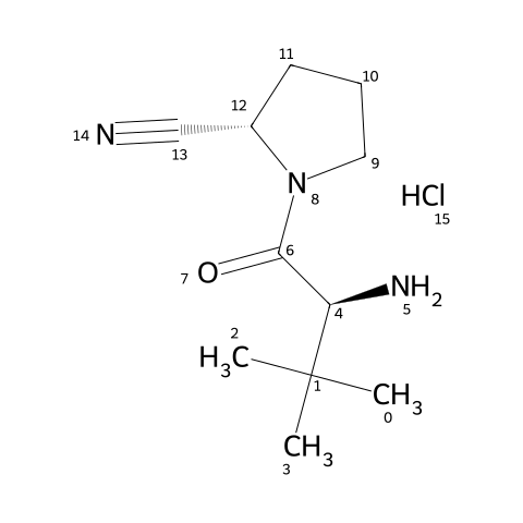 CC(C)(C)[C@H](N)C(=O)N1CCC[C@H]1C#N.Cl